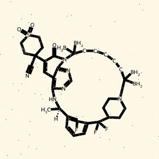 BC1(B)CCCCCC(B)(B)n2c(=O)c(C3(C#N)CCS(=O)(=O)CC3)cc3c(ncnc32)N[C@H](C)c2cccc(c2F)C(F)(F)C2CCN1CC2